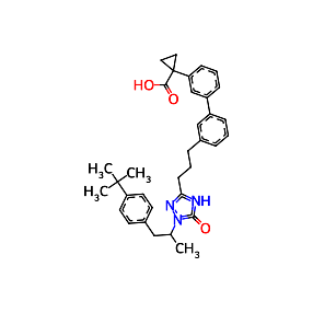 CC(Cc1ccc(C(C)(C)C)cc1)n1nc(CCCc2cccc(-c3cccc(C4(C(=O)O)CC4)c3)c2)[nH]c1=O